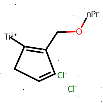 CCCOCC1=[C]([Ti+2])CC=C1.[Cl-].[Cl-]